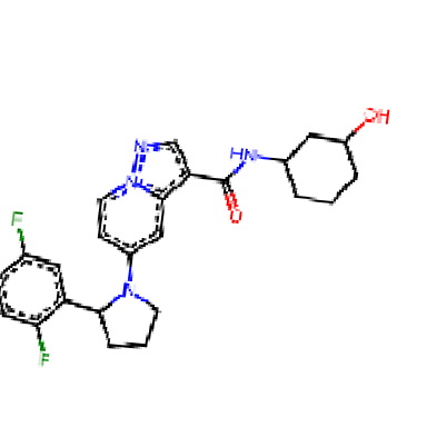 O=C(NC1CCCC(O)C1)c1cnn2ccc(N3CCCC3c3cc(F)ccc3F)cc12